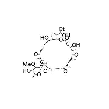 CCC(O)C(C)C1OC(=O)CC(O)C(C)C(=O)/C(C)=C/C(C)C(=O)/C=C/C(C)C(O[C@H]2O[C@@H](C)[C@@H](O)[C@@H](OC)[C@H]2O)C(C)CC(C)C(=O)/C=C/CC(O)C1C